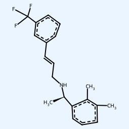 Cc1cccc([C@@H](C)NC/C=C/c2cccc(C(F)(F)F)c2)c1C